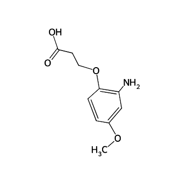 COc1ccc(OCCC(=O)O)c(N)c1